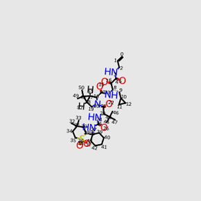 C=CCNC(=O)C(=O)[C@H](CC1CC1)NC(=O)[C@@H]1[C@@H]2[C@H](CN1C(=O)[C@@H](NC(=O)NC1([C@@H]3CC(C)(C)CCS3(=O)=O)CCCCC1)C(C)(C)C)C2(C)C